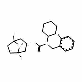 CN1[C@@H]2CC[C@H]1C[C@@H](OC(=O)N(Cc1ccccc1F)C1CCCCC1)C2